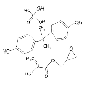 C=C(C)C(=O)OCC1CO1.CC(C)(c1ccc(O)cc1)c1ccc(O)cc1.O=P(O)(O)O